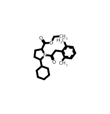 CCOC(=O)C1CCC(C2CCCCC2)N1C(=O)Cc1c(C)cccc1C